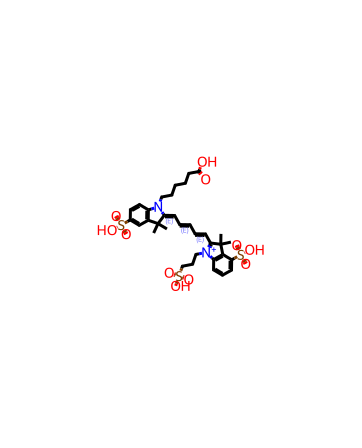 CC1(C)C(/C=C/C=C/C=C2/N(CCCCCC(=O)O)c3ccc(S(=O)(=O)O)cc3C2(C)C)=[N+](CCCS(=O)(=O)O)c2cccc(S(=O)(=O)O)c21